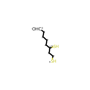 O=[C]CCCCC(S)CCS